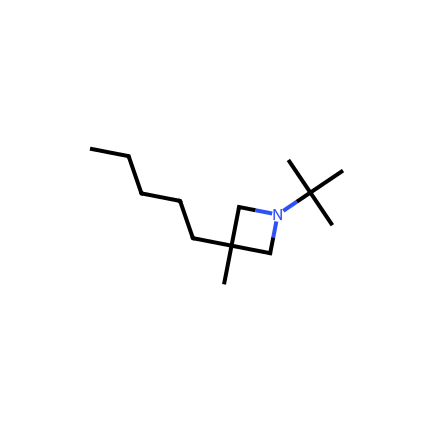 CCCCCC1(C)CN(C(C)(C)C)C1